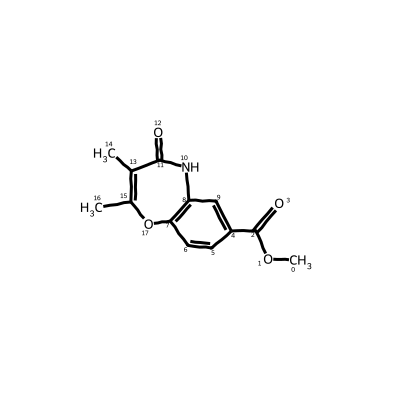 COC(=O)c1ccc2c(c1)NC(=O)C(C)=C(C)O2